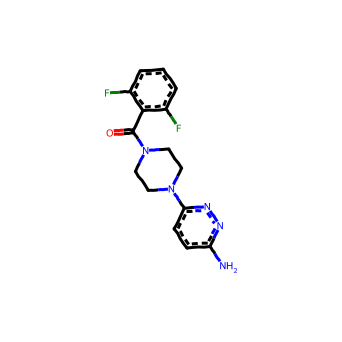 Nc1ccc(N2CCN(C(=O)c3c(F)cccc3F)CC2)nn1